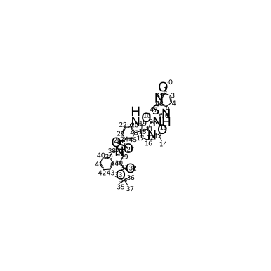 COc1ccc2nc(NC(=O)C3N(C(C)=O)CCC34CNc3ccc(S(=O)(=O)N(CCC(=O)OC(C)(C)C)Cc5ccccc5)cc34)sc2n1